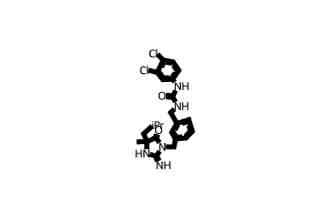 CC(C)CC1(C)NC(=N)N(Cc2cccc(CNC(=O)Nc3ccc(Cl)c(Cl)c3)c2)C1=O